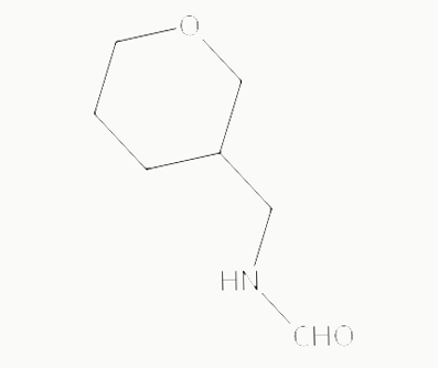 O=CNCC1CCCOC1